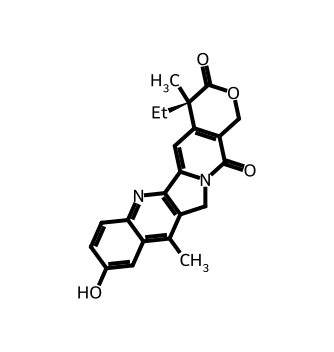 CC[C@@]1(C)C(=O)OCc2c1cc1n(c2=O)Cc2c-1nc1ccc(O)cc1c2C